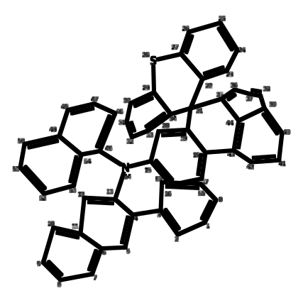 c1ccc(-c2cc3ccccc3cc2N(c2ccc3c(c2)C2(c4ccccc4Sc4ccccc42)c2cccc4cccc-3c24)c2cccc3ccccc23)cc1